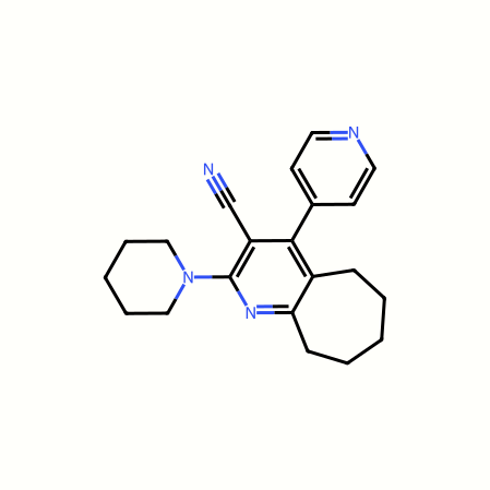 N#Cc1c(N2CCCCC2)nc2c(c1-c1ccncc1)CCCCC2